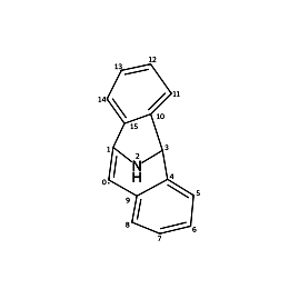 [C]1=C2NC(c3ccccc31)c1ccccc12